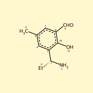 CC[C@@H](N)c1cc(C)cc(C=O)c1O